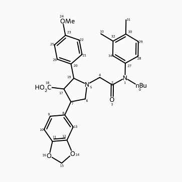 CCCCN(C(=O)CN1CC(c2ccc3c(c2)OCO3)C(C(=O)O)C1c1ccc(OC)cc1)c1ccc(C)c(C)c1